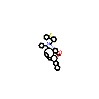 c1ccc(-c2nc(-c3cccc4sc5ccccc5c34)nc3c2Cc2ccc4c5c(ccc4c2)-c2cc4ccccc4cc2CCC5c2c-3ccc3oc4ccccc4c23)cc1